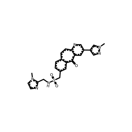 Cn1cc(-c2cnc3ccc4ccc(CS(=O)(=O)NCc5nccn5C)cc4c(=O)c3c2)cn1